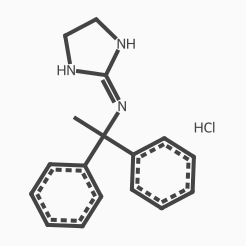 CC(N=C1NCCN1)(c1ccccc1)c1ccccc1.Cl